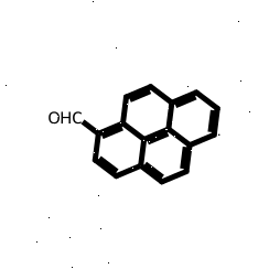 O=Cc1ccc2ccc3[c]ccc4ccc1c2c34